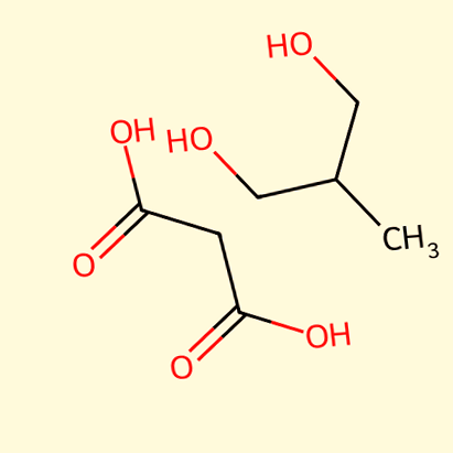 CC(CO)CO.O=C(O)CC(=O)O